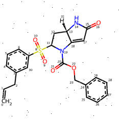 C=CCc1cccc(S(=O)(=O)C2C[C@@H]3NC(=O)C=C3N2C(=O)OCc2ccccc2)c1